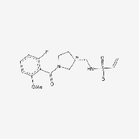 C=CS(=O)(=O)NC[C@H]1CCN(C(=O)c2c(F)cccc2OC)C1